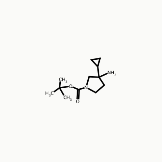 CC(C)(C)OC(=O)N1CCC(N)(C2CC2)C1